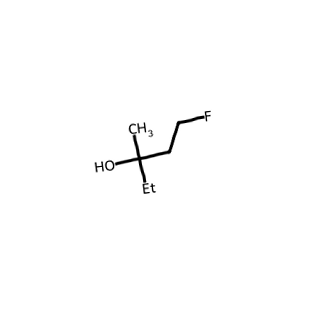 [CH2]CC(C)(O)CCF